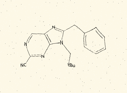 CC(C)(C)Cn1c(Cc2ccccc2)nc2cnc(C#N)nc21